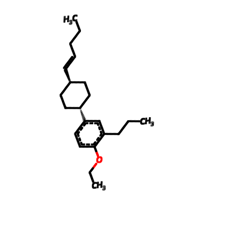 CCCC=C[C@H]1CC[C@H](c2ccc(OCC)c(CCC)c2)CC1